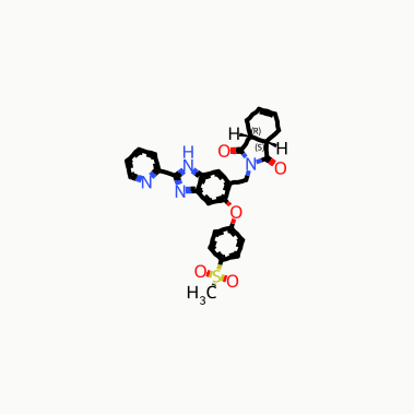 CS(=O)(=O)c1ccc(Oc2cc3nc(-c4ccccn4)[nH]c3cc2CN2C(=O)[C@H]3CC=CC[C@H]3C2=O)cc1